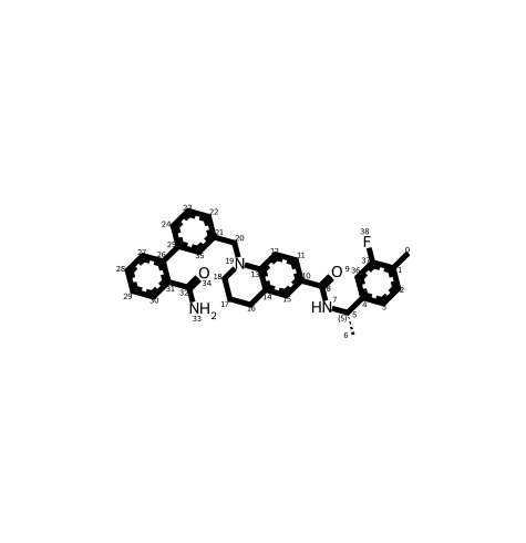 Cc1ccc([C@H](C)NC(=O)c2ccc3c(c2)CCCN3Cc2cccc(-c3ccccc3C(N)=O)c2)cc1F